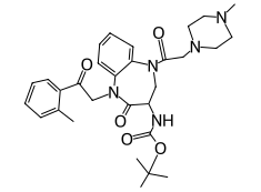 Cc1ccccc1C(=O)CN1C(=O)C(NC(=O)OC(C)(C)C)CN(C(=O)CN2CCN(C)CC2)c2ccccc21